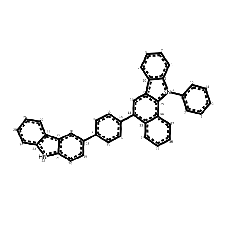 c1ccc(-n2c3ccccc3c3cc(-c4ccc(-c5ccc6[nH]c7ccccc7c6c5)cc4)c4ccccc4c32)cc1